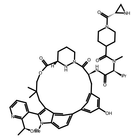 CCn1c(-c2cccnc2[C@H](C)OC)c2c3cc(ccc31)-c1cc(O)cc(c1)C[C@H](NC(=O)[C@H](C(C)C)N(C)C(=O)C1CCN(C(=O)[C@@H]3CN3)CC1)C(=O)N1CCC[C@H](N1)C(=O)OCC(C)(C)C2